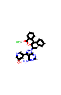 CC(c1oc(=O)c2ccccc2c1-c1ccccc1)n1nc(-c2cncc(O)c2)c2c(N)ncnc21.Cl